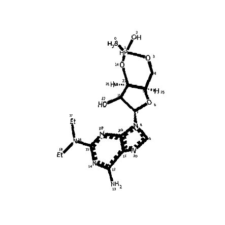 B[PH]1(O)OC[C@H]2O[C@@H](n3cnc4c(N)nc(N(CC)CC)nc43)C(O)[C@H]2O1